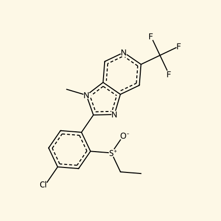 CC[S+]([O-])c1cc(Cl)ccc1-c1nc2cc(C(F)(F)F)ncc2n1C